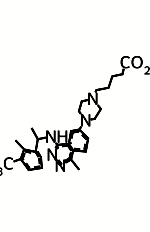 Cc1c(C(C)Nc2nnc(C)c3ccc(N4CCN(CCCCC(=O)O)CC4)cc23)cccc1C(F)(F)F